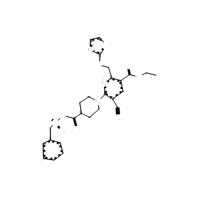 CCOC(=O)c1cc(C#N)c(N2CCC(C(=O)NS(=O)(=O)Cc3ccccc3)CC2)nc1CSc1nccs1